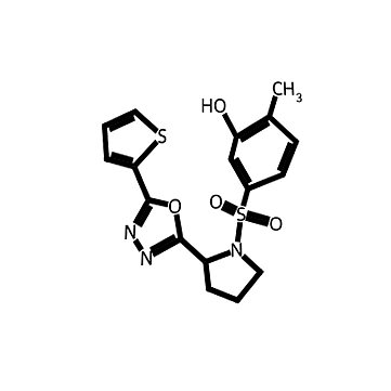 Cc1ccc(S(=O)(=O)N2CCCC2c2nnc(-c3cccs3)o2)cc1O